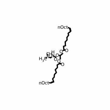 CCCCCCCC/C=C\CCCCCCCC(=O)OCC(COC(=O)CCCCCCC/C=C\CCCCCCCC)OC(=O)NCN(C)C